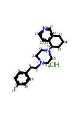 Cl.Fc1ccc(CCN2CCN(C3CCCc4cnccc43)CC2)cc1